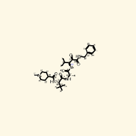 CC(C)/C(=N\C(=O)[C@H](C)NC(=O)[C@@H](NC(=O)C1CCN(C)CC1)C(C)(C)C)C(=O)C(=O)NCc1ccccc1